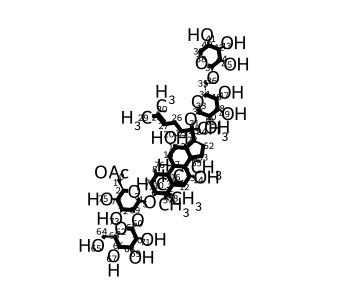 CC(=O)OC[C@H]1O[C@@H](O[C@H]2CC[C@@]3(C)C(=C[C@H](O)[C@]4(C)[C@@H]3C[C@@H](O)[C@@H]3[C@@H]([C@](C)(CCC=C(C)C)O[C@@H]5O[C@H](CO[C@@H]6OC[C@@H](O)[C@H](O)[C@H]6O)[C@@H](O)[C@H](O)[C@H]5O)CC[C@]34C)C2(C)C)[C@H](O[C@@H]2O[C@H](CO)[C@@H](O)[C@H](O)[C@H]2O)[C@@H](O)[C@@H]1O